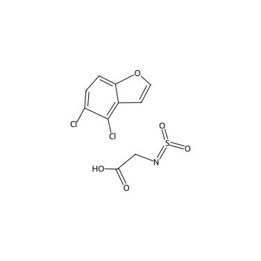 Clc1ccc2occc2c1Cl.O=C(O)CN=S(=O)=O